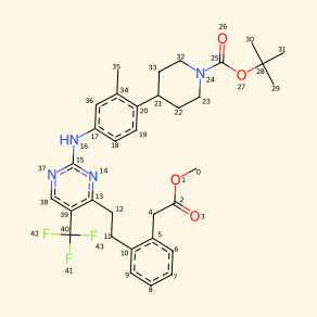 COC(=O)Cc1ccccc1CCc1nc(Nc2ccc(C3CCN(C(=O)OC(C)(C)C)CC3)c(C)c2)ncc1C(F)(F)F